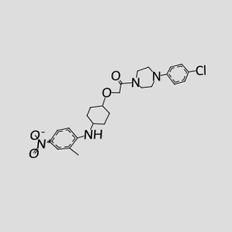 Cc1cc([N+](=O)[O-])ccc1NC1CCC(OCC(=O)N2CCN(c3ccc(Cl)cc3)CC2)CC1